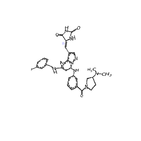 CN(C)C1CCN(C(=O)c2cccc(Nc3cc(Nc4cccc(I)c4)nc4c(/C=C5\NC(=O)NC5=O)cnn34)c2)C1